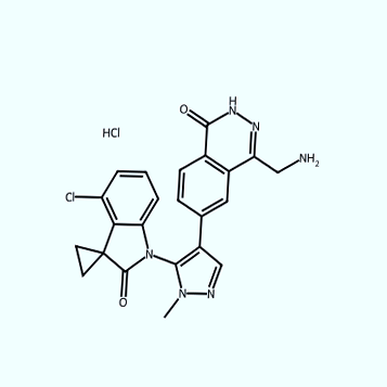 Cl.Cn1ncc(-c2ccc3c(=O)[nH]nc(CN)c3c2)c1N1C(=O)C2(CC2)c2c(Cl)cccc21